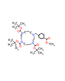 COC(=O)c1ccc(CN2CCCN(C(=O)OC(C)(C)C)CCN(C(=O)OC(C)(C)C)CCCN(C(=O)OC(C)(C)C)CC2)cc1